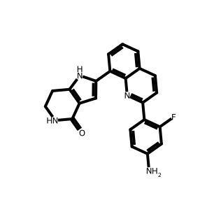 Nc1ccc(-c2ccc3cccc(-c4cc5c([nH]4)CCNC5=O)c3n2)c(F)c1